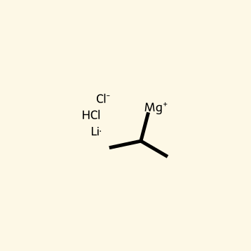 C[CH](C)[Mg+].Cl.[Cl-].[Li]